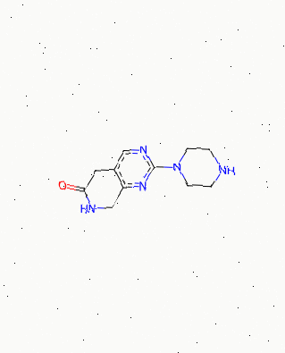 O=C1Cc2cnc(N3CCNCC3)nc2CN1